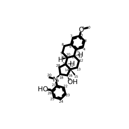 COc1ccc2c(c1)CC[C@@H]1[C@@H]2CC[C@]2(C)[C@H](O)[C@@H](N(C)c3ccccc3O)C[C@@H]12